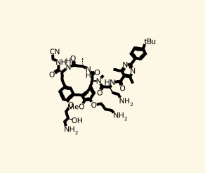 COc1c(OCCCN)cc2cc1-c1cc(ccc1OC[C@H](O)CN)C[C@@H](C(=O)NCC#N)NC(=O)[C@H](C)NC(=O)[C@H]2N(C)C(=O)[C@H](CCN)NC(=O)c1c(C)nc(-c2ccc(C(C)(C)C)cc2)nc1C